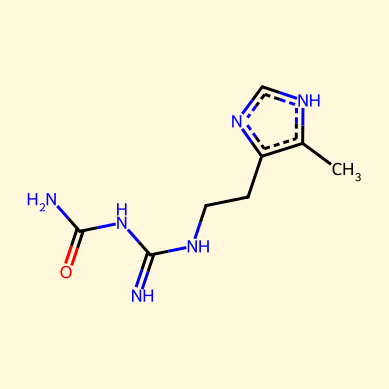 Cc1[nH]cnc1CCNC(=N)NC(N)=O